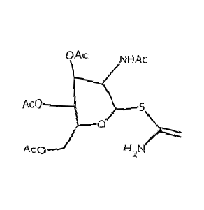 C=C(N)SC1OC(COC(C)=O)C(OC(C)=O)C(OC(C)=O)C1NC(C)=O